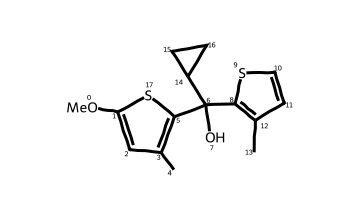 COc1cc(C)c(C(O)(c2sccc2C)C2CC2)s1